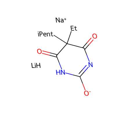 CCCC(C)C1(CC)C(=O)N=C([O-])NC1=O.[LiH].[Na+]